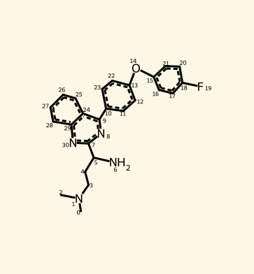 CN(C)CCC(N)c1nc(-c2ccc(Oc3ccc(F)cc3)cc2)c2ccccc2n1